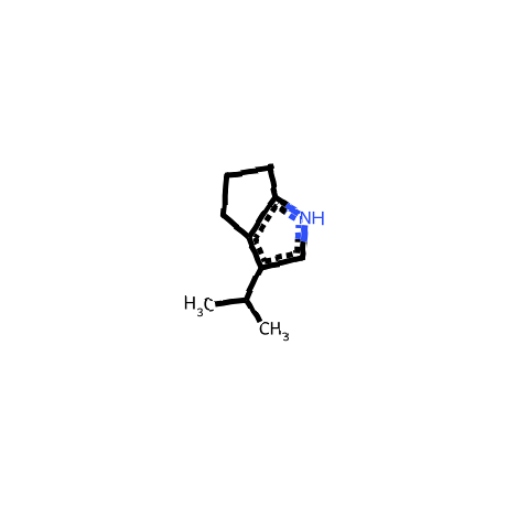 CC(C)c1c[nH]c2c1CCC2